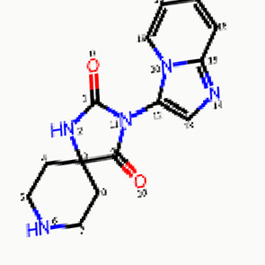 O=C1NC2(CCNCC2)C(=O)N1c1cnc2ccccn12